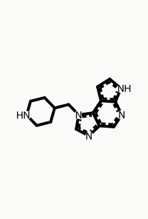 c1cc2c(ncc3ncn(CC4CCNCC4)c32)[nH]1